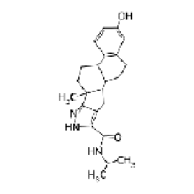 CC(C)NC(=O)c1[nH]nc2c1CC1C3CCc4cc(O)ccc4C3CCC21C